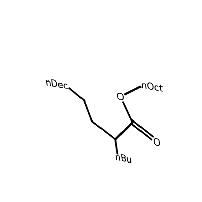 CCCCCCCCCCCCC(CCCC)C(=O)OCCCCCCCC